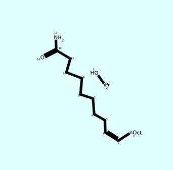 CC(C)O.CCCCCCCC/C=C\CCCCCCCC(N)=O